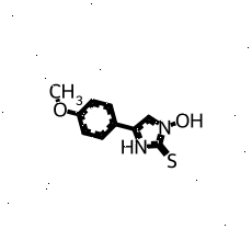 COc1ccc(-c2cn(O)c(=S)[nH]2)cc1